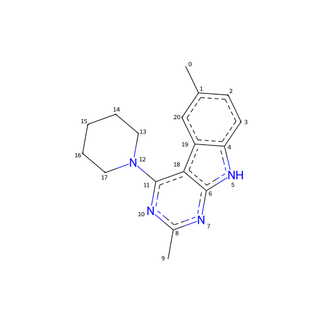 Cc1ccc2[nH]c3nc(C)nc(N4CCCCC4)c3c2c1